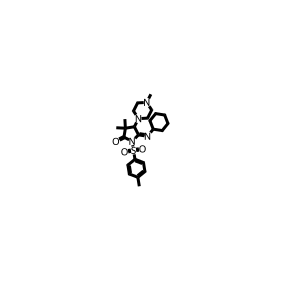 Cc1ccc(S(=O)(=O)N2C(=O)C(C)(C)C(N3CCN(C)CC3)C2=NC2CCCCC2)cc1